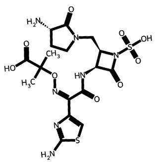 CC(C)(ON=C(C(=O)N[C@@H]1C(=O)N(S(=O)(=O)O)[C@@H]1CN1CC[C@H](N)C1=O)c1csc(N)n1)C(=O)O